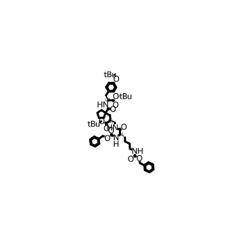 CC(C)(C)OC(=O)[C@H](CNC(=O)[C@H](CCCCNC(=O)OCc1ccccc1)NC(=O)OCc1ccccc1)CC1(C(=O)N[C@@H](Cc2ccc(OC(C)(C)C)cc2)C(=O)OC(C)(C)C)CCCC1